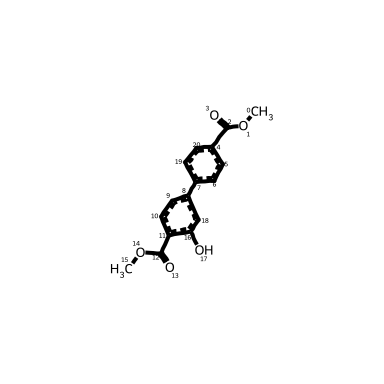 COC(=O)c1ccc(-c2ccc(C(=O)OC)c(O)c2)cc1